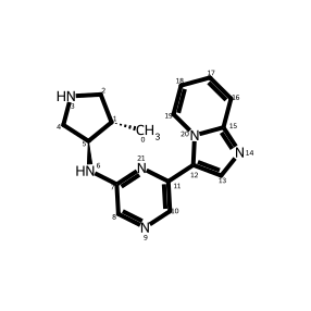 C[C@H]1CNC[C@@H]1Nc1cncc(-c2cnc3ccccn23)n1